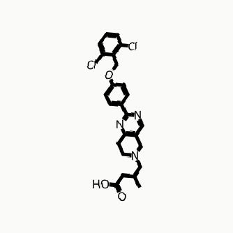 CC(CC(=O)O)CN1CCc2nc(-c3ccc(OCc4c(Cl)cccc4Cl)cc3)ncc2C1